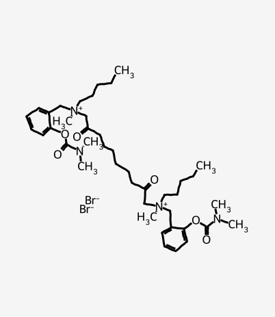 CCCCC[N+](C)(CC(=O)CCCCCCC(=O)C[N+](C)(CCCCC)Cc1ccccc1OC(=O)N(C)C)Cc1ccccc1OC(=O)N(C)C.[Br-].[Br-]